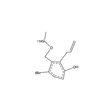 C=CCc1c(O)ccc(C(C)(C)C)c1CO[SiH](C)C